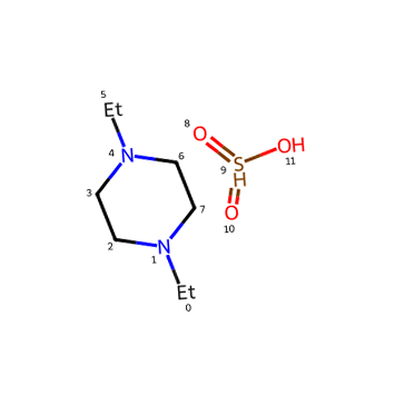 CCN1CCN(CC)CC1.O=[SH](=O)O